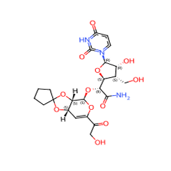 NC(=O)[C@H](O[C@H]1OC(C(=O)CO)=C[C@@H]2OC3(CCCC3)O[C@H]12)[C@H]1O[C@@H](n2ccc(=O)[nH]c2=O)[C@H](O)[C@@H]1CO